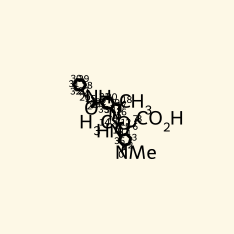 CNc1ccc(CCCC(=O)O)c(NC(=O)C(C)n2cc(C)c3ccc(C(=O)NCc4ccccc4)cc32)c1